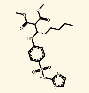 CCCCC[C@H](Nc1ccc(S(=O)(=O)Nc2nccs2)cc1)C(C(=O)OC)C(=O)OC